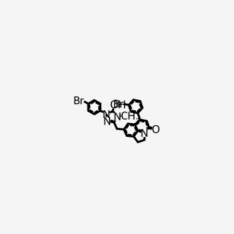 CN1C(Cc2cc3c4c(c2)c(-c2cccc(Br)c2)cc(=O)n4CC3)=NN(c2ccc(Br)cc2)C1O